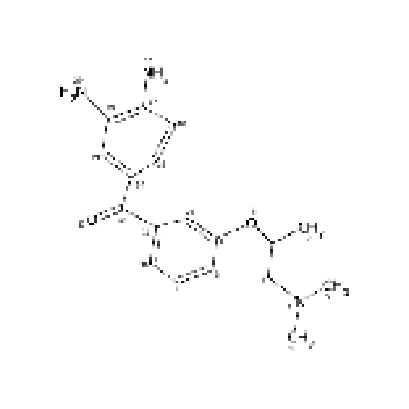 CC(CN(C)C)Oc1cccc(C(=O)c2ccc(N)c(N)c2)c1